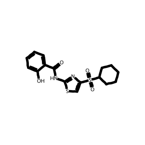 O=C(Nc1nc(S(=O)(=O)C2CCCCC2)cs1)c1ccccc1O